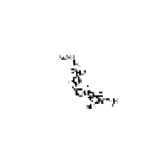 CCN(C(=O)OCCNC(C)=O)C1C=CC(O[C@H]2CN(c3nc4c(cc3F)c(=O)c(C(=O)O)cn4C3CC3)C[C@@H]2C)=C(F)C1